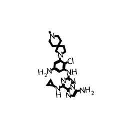 CN1CCC2(CC1)CCN(c1cc(N)cc(Nc3nc(NC4CC4)c4ncc(N)n4n3)c1Cl)C2